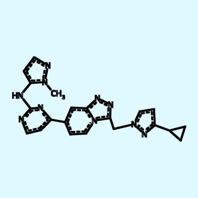 Cn1nccc1Nc1nccc(-c2ccn3c(Cn4ccc(C5CC5)n4)nnc3c2)n1